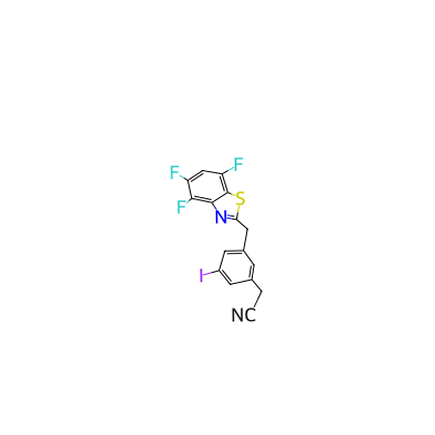 N#CCc1cc(I)cc(Cc2nc3c(F)c(F)cc(F)c3s2)c1